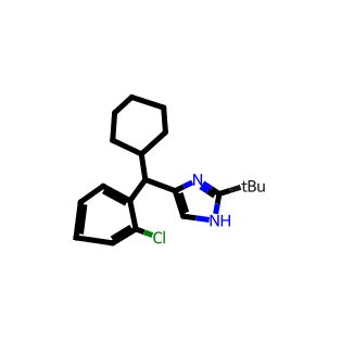 CC(C)(C)c1nc(C(c2ccccc2Cl)C2CCCCC2)c[nH]1